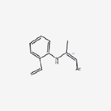 C=Cc1ccccc1N/C(C)=C\C(C)=O